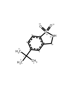 CC(C)(C)c1ccc2c(c1)CNS2(=O)=O